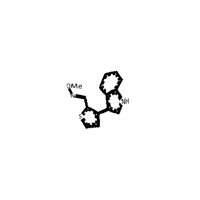 CO/N=C/c1sccc1-c1c[nH]c2ccccc12